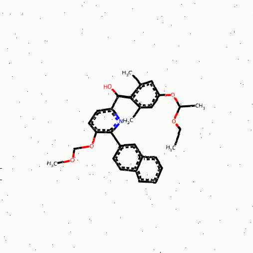 CCOC(C)Oc1cc(C)c(C(O)c2ccc(OCOC)c(-c3ccc4ccccc4c3)n2)c(C)c1